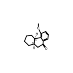 COc1cccc2c1[C@@H]1CCCC[C@@H]1CC2=O